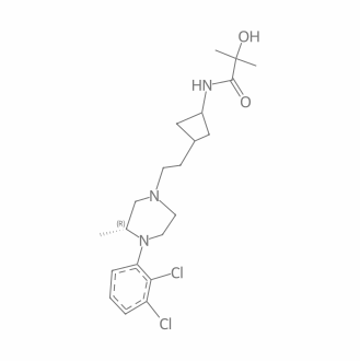 C[C@@H]1CN(CCC2CC(NC(=O)C(C)(C)O)C2)CCN1c1cccc(Cl)c1Cl